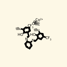 CC(=O)[O-].CC(=O)[O-].CC(C)(C)c1cc(C(F)(F)F)cc(C=Nc2ccccc2N=Cc2cc(C(F)(F)F)cc(C(C)(C)C)c2O)c1O.[Co+2]